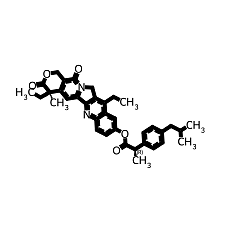 CCc1c2c(nc3ccc(OC(=O)[C@H](C)c4ccc(CC(C)C)cc4)cc13)-c1cc3c(c(=O)n1C2)COC(=O)[C@]3(C)CC